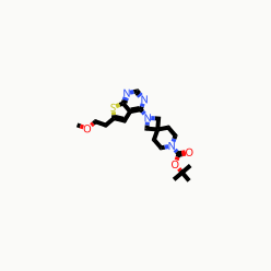 COCCc1cc2c(N3CC4(CCN(C(=O)OC(C)(C)C)CC4)C3)ncnc2s1